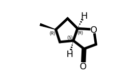 C[C@@H]1C[C@@H]2C(=O)CO[C@@H]2C1